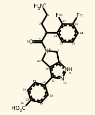 NCCC(C(=O)N1Cc2[nH]nc(-c3ccc(C(=O)O)cc3)c2C1)c1cccc(F)c1F